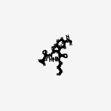 CCCCNC(=O)c1c(NC(=O)C2CC2)sc2c1CC(NC)CC2